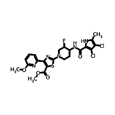 COC(=O)c1sc(N2CCC(NC(=O)c3[nH]c(C)c(Cl)c3Cl)C(F)C2)nc1-c1cccc(OC)n1